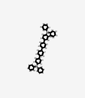 c1ccc(N(c2ccccc2)c2ccc(-c3ccc(-c4ccc(-c5ccc6c(c5)c5ccccc5n6-c5ccccc5)cc4)cc3)cc2)cc1